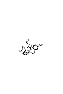 C=CCC1C[C@]2(C)[C@H](O)CC[C@H]2[C@@H]2CCc3cc(O)ccc3[C@@H]12